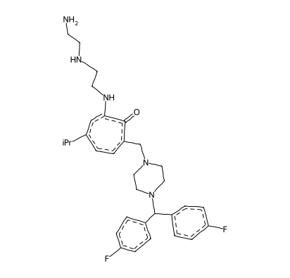 CC(C)c1ccc(CN2CCN(C(c3ccc(F)cc3)c3ccc(F)cc3)CC2)c(=O)c(NCCNCCN)c1